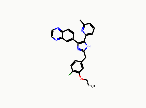 Cc1cccc(-c2[nH]c(Cc3ccc(F)c(OCC(=O)O)c3)nc2-c2ccc3nccnc3c2)n1